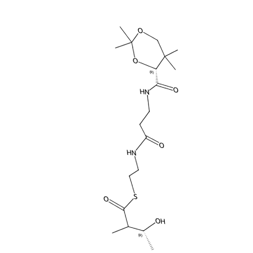 CC(C(=O)SCCNC(=O)CCNC(=O)[C@@H]1OC(C)(C)OCC1(C)C)[C@@H](C)O